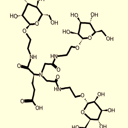 O=C(O)CC[C@@H](C(=O)NCCO[C@@H]1O[C@@H](CO)[C@H](O)[C@@H](O)[C@H]1O)N(CC(=O)NCCO[C@H]1O[C@H](CO)[C@@H](O)[C@H](O)[C@@H]1O)CC(=O)NCCO[C@H]1O[C@H](CO)[C@@H](O)[C@H](O)[C@@H]1O